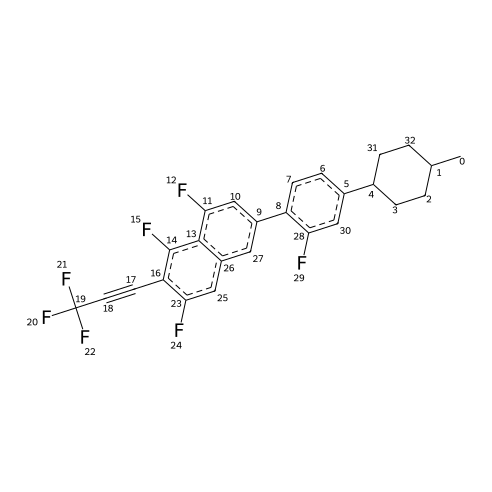 CC1CCC(c2ccc(-c3cc(F)c4c(F)c(C#CC(F)(F)F)c(F)cc4c3)c(F)c2)CC1